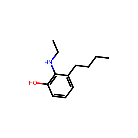 CCCCc1cccc(O)c1NCC